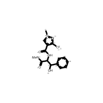 CNC(=O)C(NC(=O)c1cn(C)nc1C(F)(F)F)C(O)c1ccccc1